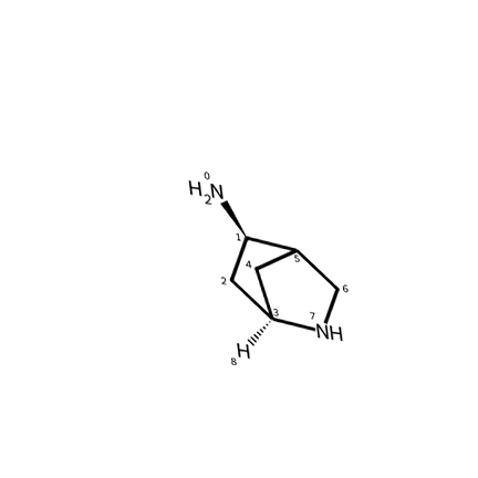 N[C@@H]1C[C@H]2CC1CN2